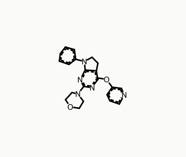 c1ccc(N2CCc3c(Oc4cccnc4)nc(N4CCOCC4)nc32)cc1